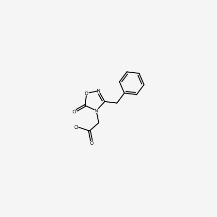 O=C(Cl)Cn1c(Cc2ccccc2)noc1=O